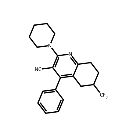 N#Cc1c(N2CCCCC2)nc2c(c1-c1ccccc1)CC(C(F)(F)F)CC2